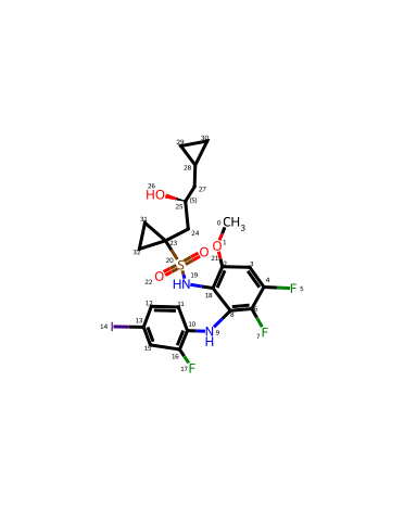 COc1cc(F)c(F)c(Nc2ccc(I)cc2F)c1NS(=O)(=O)C1(C[C@@H](O)CC2CC2)CC1